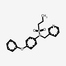 CCCS(=O)(=O)N(Cc1cccnc1)c1ccc(Oc2ccccc2)cc1